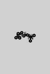 c1ccc(-c2nc(-c3ccccc3)nc(-c3ccc4sc5c(-c6cccc7c6oc6c(-n8c9ccccc9c9ccccc98)cccc67)cccc5c4c3)n2)cc1